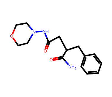 NC(=O)C(CC(=O)NN1CCOCC1)Cc1ccccc1